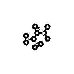 c1ccc(-c2cc(-c3ccccc3)nc(-c3cc(-c4cc(-n5c6ccccc6c6ccccc65)cc(-n5c6ccccc6c6ccccc65)c4)cc4c3sc3ccccc34)n2)cc1